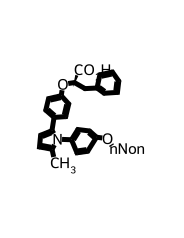 CCCCCCCCCOc1ccc(-n2c(C)ccc2-c2ccc(O[C@H](Cc3ccccc3)C(=O)O)cc2)cc1